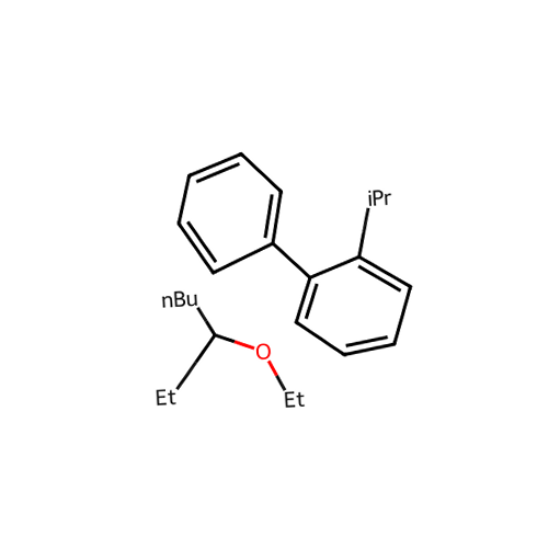 CC(C)c1ccccc1-c1ccccc1.CCCCC(CC)OCC